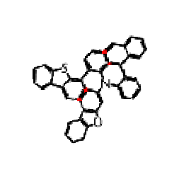 C1=Cc2c(oc3cc(N(c4ccccc4-c4cccc5ccccc45)c4ccccc4-c4cccc5c4sc4ccccc45)ccc23)CC1